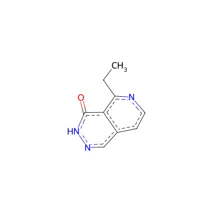 CCc1nccc2cn[nH]c(=O)c12